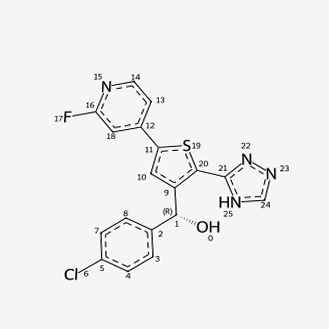 O[C@H](c1ccc(Cl)cc1)c1cc(-c2ccnc(F)c2)sc1-c1nnc[nH]1